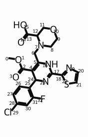 COC(=O)C1=C(CN2CCOCC2C(=O)O)NC(c2nccs2)=NC1c1ccc(Cl)cc1F